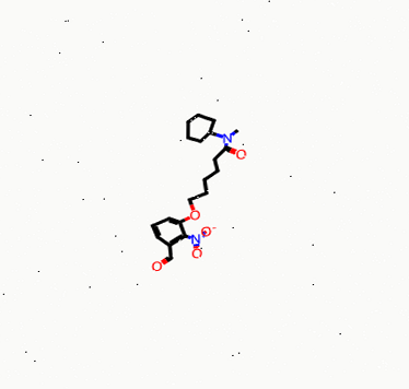 CN(C(=O)CCCCCOc1cccc(C=O)c1[N+](=O)[O-])C1CCCCC1